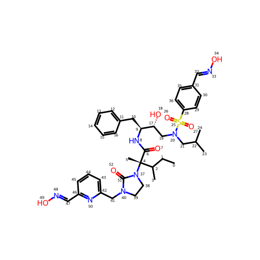 CCC(C)[C@@](C)(C(=O)N[C@@H](Cc1ccccc1)[C@H](O)CN(CC(C)C)S(=O)(=O)c1ccc(/C=N/O)cc1)N1CCN(Cc2cccc(C=NO)n2)C1=O